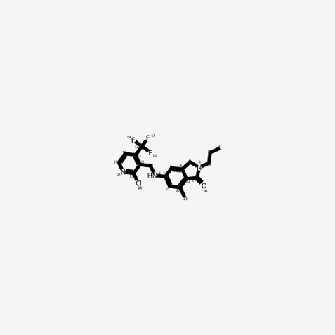 CCCN1Cc2cc(NCc3c(C(F)(F)F)ccnc3Cl)cc(C)c2C1=O